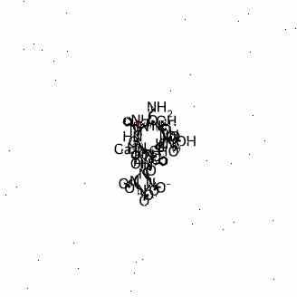 C[C@@H](O)[C@H](NC(=O)[C@@H]1CSSC[C@H](NC(=O)[C@@H](Cc2ccccc2)NC(=O)CN2CCN(CC(=O)[O-])CCN(CC(=O)[O-])CCN(CC(=O)[O-])CC2)C(=O)N[C@@H](Cc2ccc(O)cc2)C(=O)N[C@H](Cc2c[nH]c3ccccc23)C(=O)N[C@@H](CCCCN)C(=O)N[C@@H]([C@@H](C)O)C(=O)N1)C(=O)O.[Ga+3]